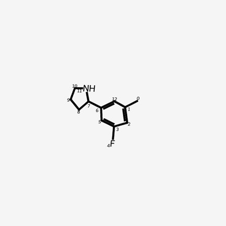 Cc1cc(F)cc(C2CCCN2)c1